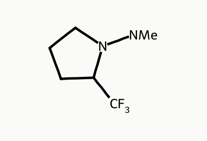 CNN1CCCC1C(F)(F)F